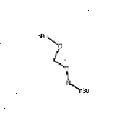 CCCC[N]OCOCCCC